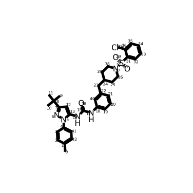 Cc1ccc(-n2nc(C(C)(C)C)cc2NC(=O)Nc2cccc(CC3CCN(S(=O)(=O)c4ccccc4Cl)CC3)c2)cc1